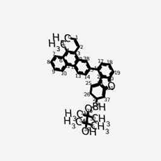 C/C=C\c1c(C)c2ccccc2c2ccc(-c3cccc4oc5c(c34)=CCC(BOC(C)(C)C(C)(C)O)C=5)cc12